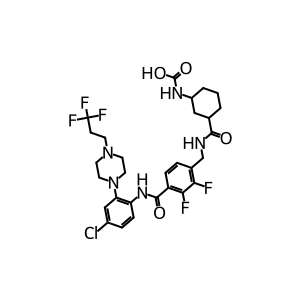 O=C(O)NC1CCCC(C(=O)NCc2ccc(C(=O)Nc3ccc(Cl)cc3N3CCN(CCC(F)(F)F)CC3)c(F)c2F)C1